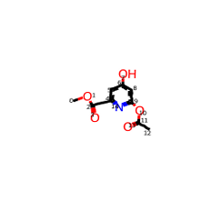 COC(=O)c1cc(O)cc(OC(C)=O)n1